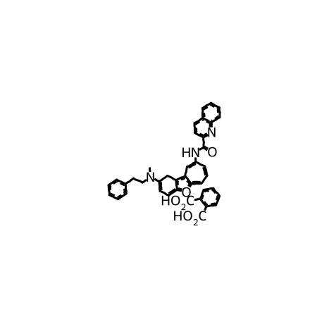 CN(CCc1ccccc1)C1=CC=c2oc3c(c2C1)C=C(NC(=O)c1ccc2ccccc2n1)C=CC=3.O=C(O)c1ccccc1C(=O)O